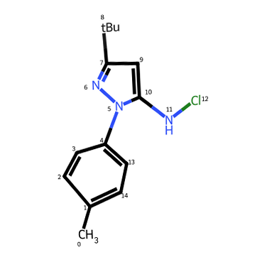 Cc1ccc(-n2nc(C(C)(C)C)cc2NCl)cc1